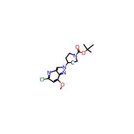 COc1cc(Cl)nc2cn(C3CCN(C(=O)OC(C)(C)C)CC3)nc12